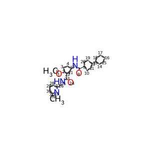 COc1ccc(NC(=O)c2ccc(-c3ccccc3)cc2)cc1C(=O)NCc1cccc(C)n1